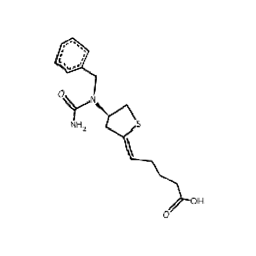 NC(=O)N(Cc1ccccc1)[C@H]1CS/C(=C\CCCC(=O)O)C1